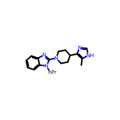 CCCn1c(N2CCC(c3nc[nH]c3C)CC2)nc2ccccc21